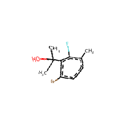 Cc1ccc(Br)c(C(C)(C)O)c1F